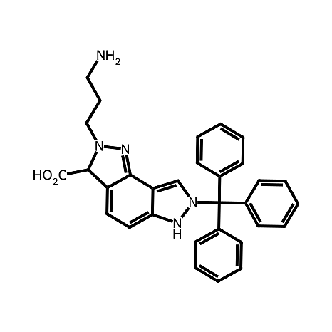 NCCCN1N=c2c(ccc3c2=CN(C(c2ccccc2)(c2ccccc2)c2ccccc2)N3)C1C(=O)O